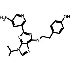 CC(C)n1cnc2c(NCCc3ccc(O)cc3)nc(-c3cncc(P)c3)nc21